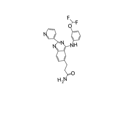 NC(=O)CCc1ccc2nc(-c3cccnc3)nc(Nc3cccc(OC(F)F)c3)c2c1